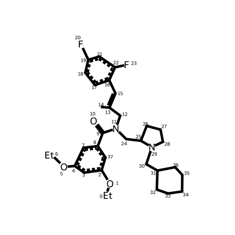 CCOc1cc(OCC)cc(C(=O)N(C/C(C)=C/c2ccc(F)cc2F)CC2CCCN2CC2CCCCC2)c1